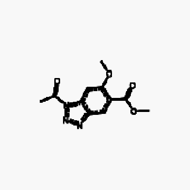 COC(=O)c1cc2nnn(C(C)=O)c2cc1OC